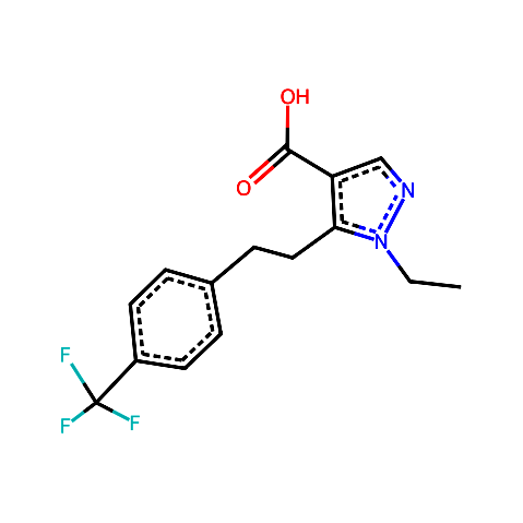 CCn1ncc(C(=O)O)c1CCc1ccc(C(F)(F)F)cc1